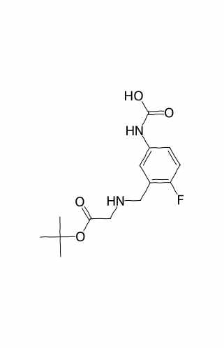 CC(C)(C)OC(=O)CNCc1cc(NC(=O)O)ccc1F